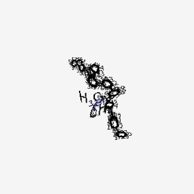 C/C=C\C=C(/CC)N(c1ccc(-c2ccc(-c3ccccc3)cc2)cc1)c1cccc(-c2cccc(-c3cccc4c3c3ccccc3n4-c3ccc4c(ccc5ccccc54)c3)c2)c1